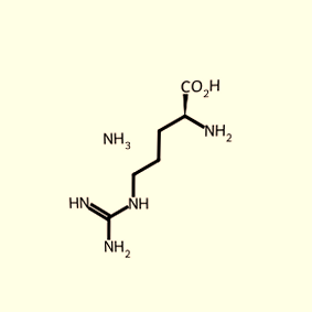 N.N=C(N)NCCC[C@H](N)C(=O)O